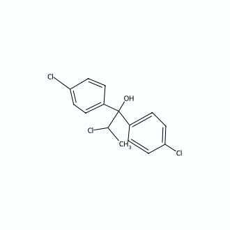 CC(Cl)C(O)(c1ccc(Cl)cc1)c1ccc(Cl)cc1